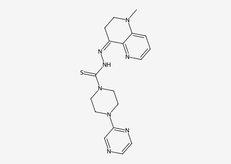 CN1CC/C(=N/NC(=S)N2CCN(c3cnccn3)CC2)c2ncccc21